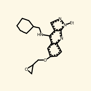 CCn1ncc2c(NCC3CCCCC3)c3cc(OCC4CO4)ccc3nc21